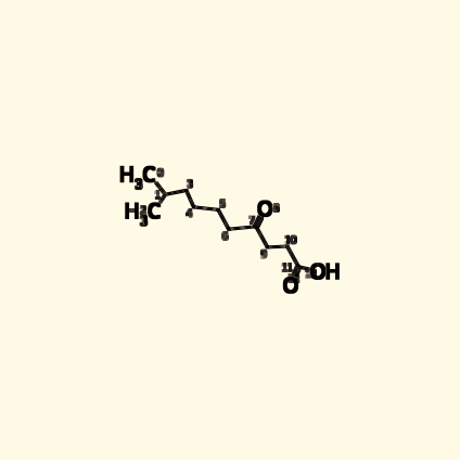 CC(C)CCCCC(=O)CCC(=O)O